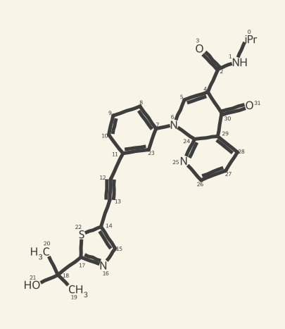 CC(C)NC(=O)c1cn(-c2cccc(C#Cc3cnc(C(C)(C)O)s3)c2)c2ncccc2c1=O